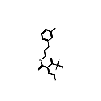 C=C(NCCCc1cccc(C)c1)/C(=C/CC)C(=C)C(F)(F)F